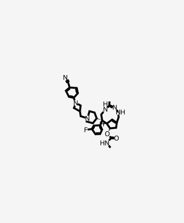 CNC(=O)O[C@H]1CC2=C[C@@H]1[C@](c1cccc(F)c1)(C1CCN(CC3CN(c4ccc(C#N)cc4)C3)CC1)CN/C(C)=N\NC2